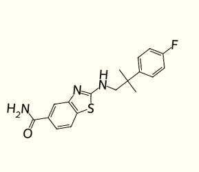 CC(C)(CNc1nc2cc(C(N)=O)ccc2s1)c1ccc(F)cc1